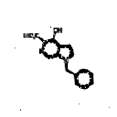 CCOC(=O)c1ncc2c(ccn2Cc2ccccc2)c1O